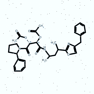 CC(=O)O[C@@H](C(=O)NC(C)CC(C)c1nc(Cc2ccccc2)co1)[C@@H](OC(C)=O)C(=O)N1CCCC1c1ccccc1